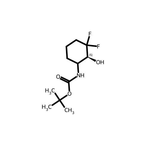 CC(C)(C)OC(=O)NC1CCCC(F)(F)[C@H]1O